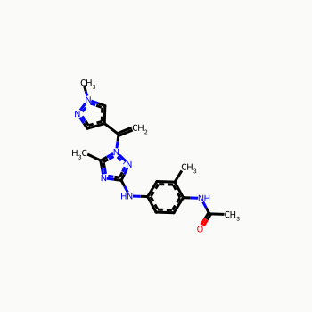 C=C(c1cnn(C)c1)n1nc(Nc2ccc(NC(C)=O)c(C)c2)nc1C